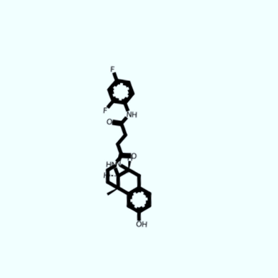 CN1CC[C@@]2(C)c3cc(O)ccc3C[C@@H]1[C@@H]2NC(=O)CCC(=O)Nc1ccc(F)cc1F